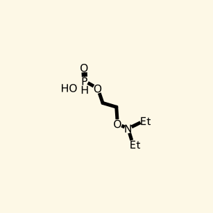 CCN(CC)OCCO[PH](=O)O